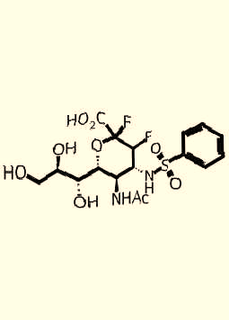 CC(=O)N[C@H]1[C@H]([C@H](O)[C@H](O)CO)OC(F)(C(=O)O)C(F)[C@@H]1NS(=O)(=O)c1ccccc1